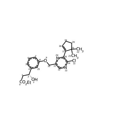 CCOC(=O)C[C@@H](O)c1cccc(OCc2cnc(Cl)c(C3=CCCC3(C)C)n2)c1